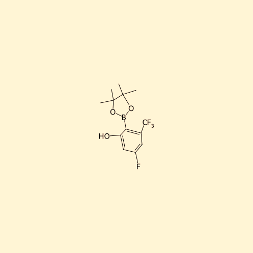 CC1(C)OB(c2c(O)cc(F)cc2C(F)(F)F)OC1(C)C